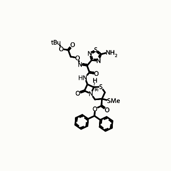 CSC1(C(=O)OC(c2ccccc2)c2ccccc2)CS[C@@H]2C(NC(=O)C(=NOCC(=O)OC(C)(C)C)c3nsc(N)n3)C(=O)N2C1